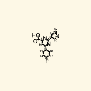 Cn1cc(-c2nc(C(=O)O)cc(-c3ccc(F)cc3)n2)cn1